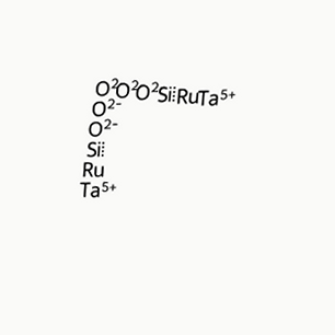 [O-2].[O-2].[O-2].[O-2].[O-2].[Ru].[Ru].[Si].[Si].[Ta+5].[Ta+5]